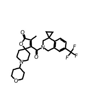 CC1=C(C(=O)N2Cc3cc(C(F)(F)F)ccc3C3(CC3)C2)C2(CCN(C3CCOCC3)CC2)OC1=O